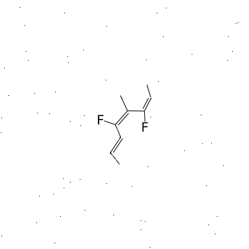 C/C=C/C(F)=C(C)\C(F)=C/C